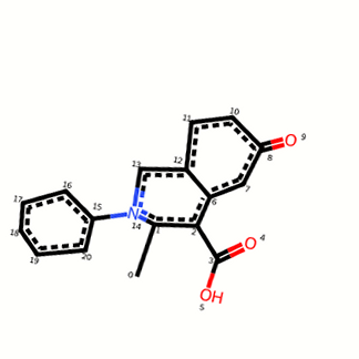 Cc1c(C(=O)O)c2cc(=O)ccc-2cn1-c1ccccc1